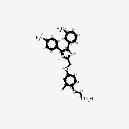 Cc1cc(OCc2nc(-c3ccc(C(F)(F)F)cc3)c(-c3cccc(C(F)(F)F)c3)s2)ccc1OCC(=O)O